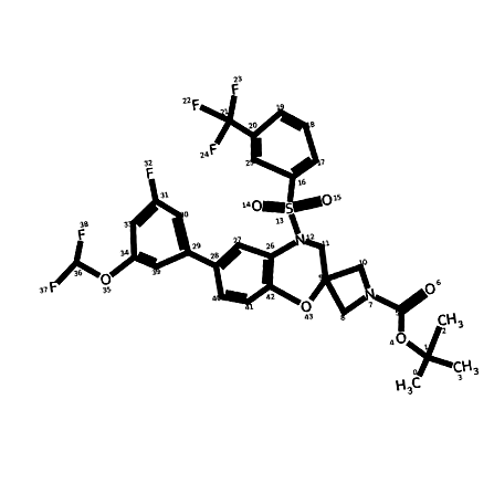 CC(C)(C)OC(=O)N1CC2(C1)CN(S(=O)(=O)c1cccc(C(F)(F)F)c1)c1cc(-c3cc(F)cc(OC(F)F)c3)ccc1O2